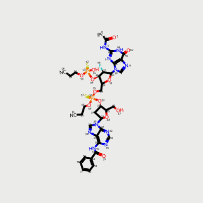 CC(C)C(=O)Nc1nc2c(ncn2C2OC(COP(=S)(OCCC#N)O[C@H]3CC(n4cnc5c(NC(=O)c6ccccc6)ncnc54)OC3CO)[C@@H](OP(O)(=S)OCCC#N)[C@H]2F)c(=O)[nH]1